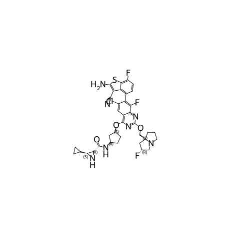 N#Cc1c(N)sc2c(F)ccc(-c3c(Cl)cc4c(O[C@H]5CC[C@@H](NC(=O)[C@@H]6N[C@H]6C6CC6)C5)nc(OC[C@@]56CCCN5C[C@H](F)C6)nc4c3F)c12